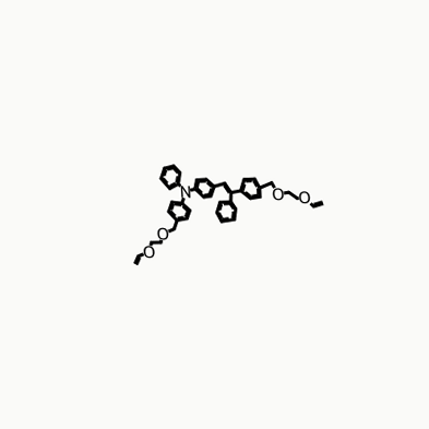 C=COCCOCc1ccc(C(=Cc2ccc(N(c3ccccc3)c3ccc(COCCOC=C)cc3)cc2)c2ccccc2)cc1